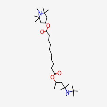 CC(CC(C)(C)N(C)C(C)(C)C)OC(=O)CCCCCCCCC(=O)OC1CC(C)(C)N(C)C(C)(C)C1